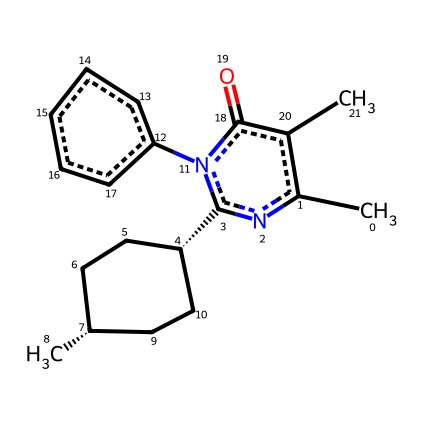 Cc1nc([C@H]2CC[C@@H](C)CC2)n(-c2ccccc2)c(=O)c1C